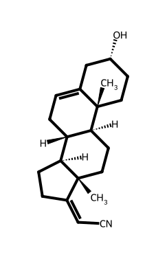 C[C@]12CC[C@@H](O)CC1=CC[C@@H]1[C@@H]2CC[C@]2(C)/C(=C\C#N)CC[C@@H]12